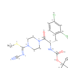 CS/C(=N\C#N)N1CCN(C(=O)[C@H](Cc2ccc(Cl)cc2Cl)NC(=O)OC(C)(C)C)CC1